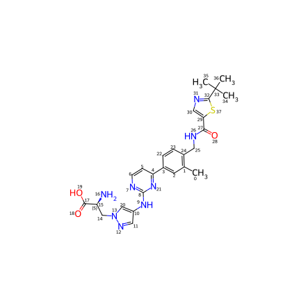 Cc1cc(-c2ccnc(Nc3cnn(C[C@H](N)C(=O)O)c3)n2)ccc1CNC(=O)c1cnc(C(C)(C)C)s1